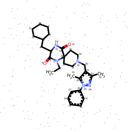 CCN1C(=O)C(CC2CCCCC2)NC(=O)C12CCN(Cc1c(C)nn(-c3ccccc3)c1C)CC2